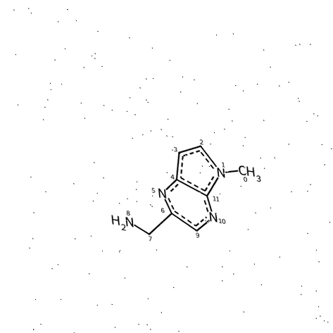 Cn1ccc2nc(CN)cnc21